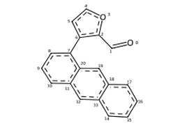 O=[C]c1occc1-c1cccc2cc3ccccc3cc12